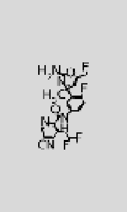 C[C@@]1(c2cc(NC(=O)c3ncc(C#N)cc3CC(F)F)ccc2F)C=C(CF)OC(N)=N1